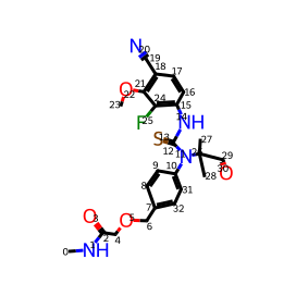 CNC(=O)COCc1ccc(N(C(=S)Nc2ccc(C#N)c(OC)c2F)C(C)(C)C=O)cc1